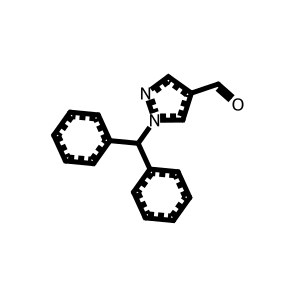 O=Cc1cnn(C(c2ccccc2)c2ccccc2)c1